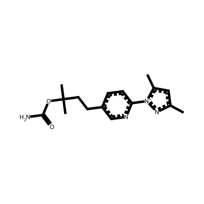 Cc1cc(C)n(-c2ccc(CCC(C)(C)OC(N)=O)cn2)n1